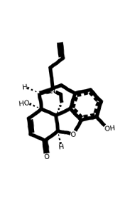 C=CCN1CC[C@]23c4c5ccc(O)c4O[C@H]2C(=O)C=C[C@@]3(O)[C@H]1C5